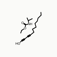 CCCCCCCCC#CC#CO.CCOC(=O)NC(C)C